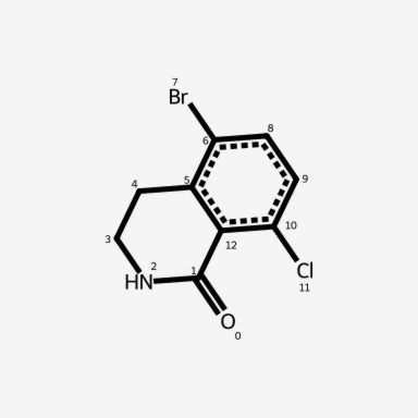 O=C1NCCc2c(Br)ccc(Cl)c21